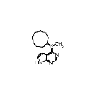 CN(c1ncnc2[nH]ccc12)C1CCCCCCCC1